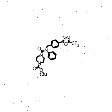 CC(C)(C)OC(=O)N1CCN(C(=O)N(Cc2ccc(-c3nnc(C(F)(F)F)o3)cc2)c2ccccc2)CC1